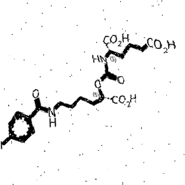 O=C(O)CCC[C@H](NC(=O)O[C@@H](CCCCNC(=O)c1ccc(I)cc1)C(=O)O)C(=O)O